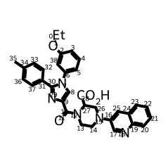 CCOc1cccc(-n2cc(C(=O)N3CCN(c4cnc5ccccc5c4)CC3C(=O)O)nc2-c2ccc(C)cc2)c1